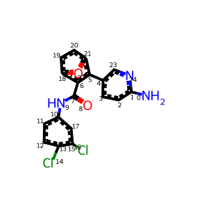 Nc1ccc(-c2c(C(=O)Nc3ccc(Cl)c(Cl)c3)c3ccc2o3)cn1